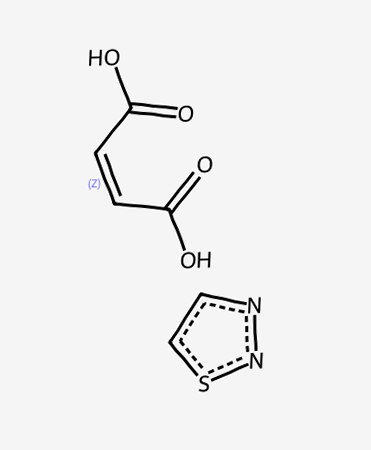 O=C(O)/C=C\C(=O)O.c1csnn1